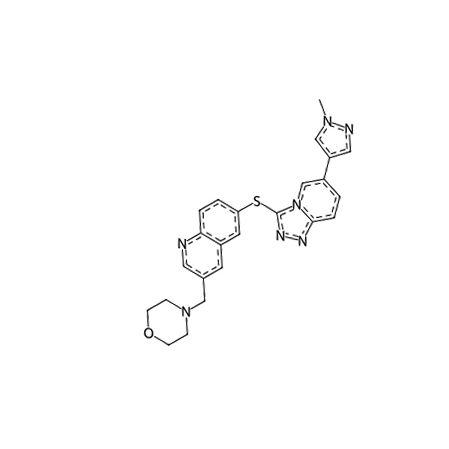 Cn1cc(-c2ccc3nnc(Sc4ccc5ncc(CN6CCOCC6)cc5c4)n3c2)cn1